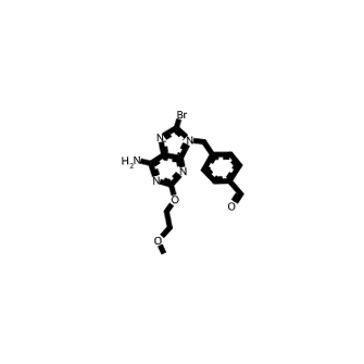 COCCOc1nc(N)c2nc(Br)n(Cc3ccc(C=O)cc3)c2n1